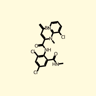 C=C(Br)/C=C(/C(=O)Nc1c(Cl)cc(Cl)cc1C(=O)NC)N(C)c1ncccc1Cl